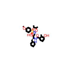 CCC(C)ON(CC(O)[C@H](Cc1ccccc1)NC(=O)c1cccc(O)c1C)S(=O)(=O)c1ccc(OC)cc1